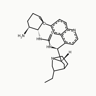 CCC1CN2CCC1C[C@H]2[C@@H](NC(=S)N[C@H]1CCCC[C@@H]1N)c1ccnc2ccc(OC)cc12